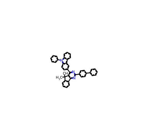 CC1(C)c2ccccc2-c2nc(-c3ccc(-c4ccccc4)cc3)nc(-c3ccc4c(c3)c3ccccc3n4-c3ccccc3)c21